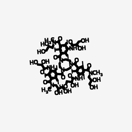 CN(CC(O)CO)C(=O)c1c(I)c(NC(=O)C(O)CO)c(I)c(C(=O)N2CCN(C(=O)c3c(I)c(NC(=O)C(O)CO)c(I)c(C(=O)N(C)CC(O)CO)c3I)CCN(C(=O)c3c(I)c(NC(=O)C(O)CO)c(I)c(C(=O)N(C)CC(O)CO)c3I)CC2)c1I